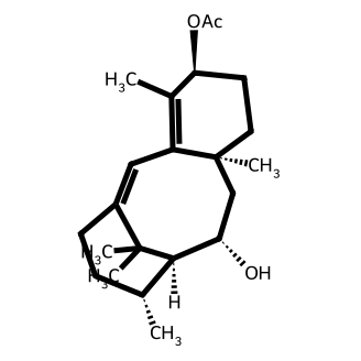 CC(=O)O[C@H]1CC[C@@]2(C)C[C@H](O)[C@H]3[C@H](C)CC/C(=C/C2=C1C)C3(C)C